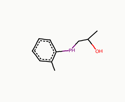 Cc1ccccc1PCC(C)O